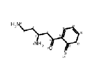 NCCC(N)CC(=O)C1=CC=CCC1=S